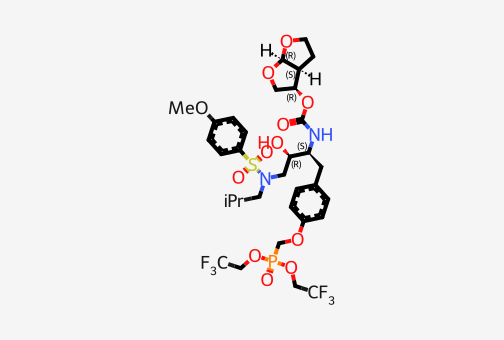 COc1ccc(S(=O)(=O)N(CC(C)C)C[C@@H](O)[C@H](Cc2ccc(OCP(=O)(OCC(F)(F)F)OCC(F)(F)F)cc2)NC(=O)O[C@H]2CO[C@H]3OCC[C@H]32)cc1